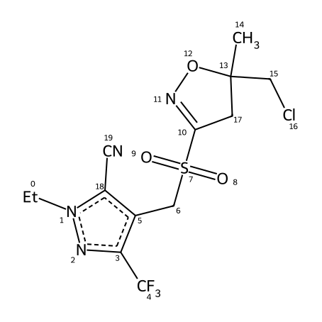 CCn1nc(C(F)(F)F)c(CS(=O)(=O)C2=NOC(C)(CCl)C2)c1C#N